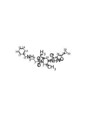 C[C@@H]1CN(S(=O)(=O)CCCNCc2ccccc2)[C@H](C)C[C@@H]1NC(=O)c1cc(C2CC2)on1